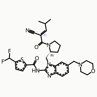 CC(C)/C=C(\C#N)C(=O)N1CCC[C@@H]1Cn1c(NC(=O)c2ccc(C(F)F)s2)nc2ccc(CN3CCOCC3)cc21